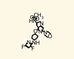 CS(=O)(=O)Nc1cnc2cc(N3CCOCC3)nc(OC3CCC(Nc4ncc(F)cc4F)CC3)c2c1